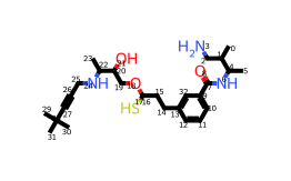 CC(CN)C(C)NC(=O)c1cccc(CCC(S)OCC(O)C(C)NCC#CC(C)(C)C)c1